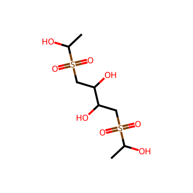 CC(O)S(=O)(=O)CC(O)C(O)CS(=O)(=O)C(C)O